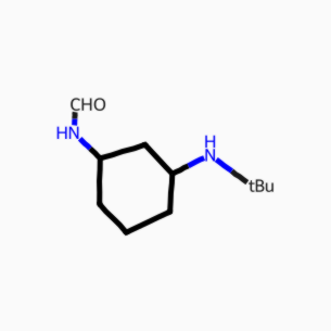 CC(C)(C)NC1CCCC(NC=O)C1